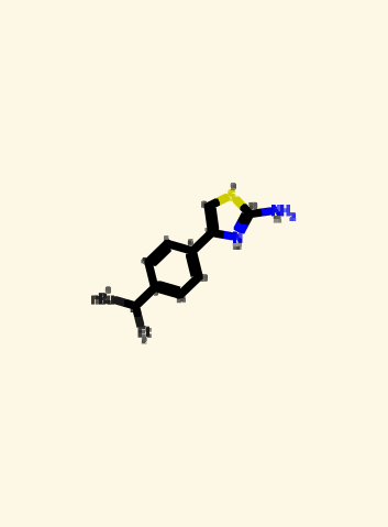 CCCCC(CC)c1ccc(-c2csc(N)n2)cc1